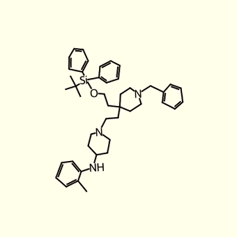 Cc1ccccc1NC1CCN(CCC2(CCO[Si](c3ccccc3)(c3ccccc3)C(C)(C)C)CCN(Cc3ccccc3)CC2)CC1